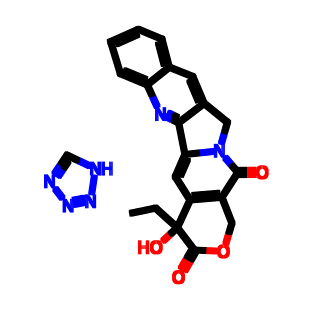 CCC1(O)C(=O)OCc2c1cc1n(c2=O)Cc2cc3ccccc3nc2-1.c1nnn[nH]1